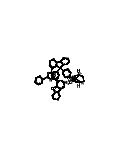 CC1(c2ccc(C3(c4ccccc4)c4ccccc4-c4cccc(-c5nc(-c6ccccc6)nc(-c6cccc7c6oc6ccccc67)n5)c43)cc2)C[C@H]2CC[C@@H](C1)C2(C)C